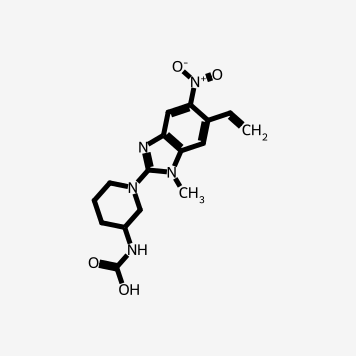 C=Cc1cc2c(cc1[N+](=O)[O-])nc(N1CCCC(NC(=O)O)C1)n2C